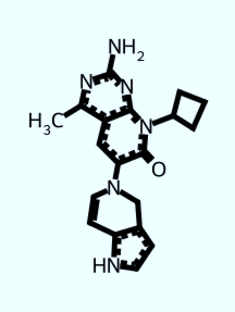 Cc1nc(N)nc2c1cc(N1C=Cc3[nH]ccc3C1)c(=O)n2C1CCC1